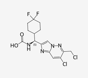 O=C(O)N[C@H](c1cn2nc(CCl)c(Cl)cc2n1)C1CCC(F)(F)CC1